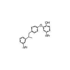 CCCc1cccc(C(C)Cc2ccc(Oc3cc(CCC)ccc3O)cc2)c1